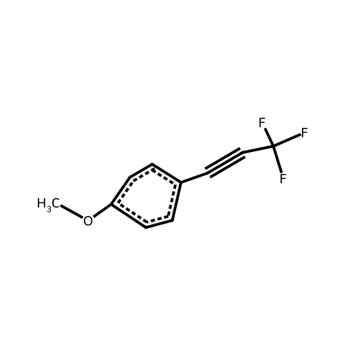 COc1ccc(C#CC(F)(F)F)cc1